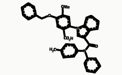 COc1cc(-n2cc(C(=O)N(c3ccccc3)c3ccc(C)cc3)c3ccccc32)c(C(=O)O)cc1OCc1ccccc1